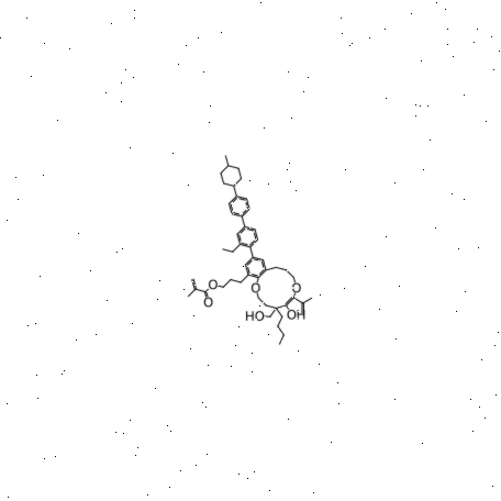 C=C(C)C(=O)OCCCc1cc(-c2ccc(-c3ccc(C4CCC(C)CC4)cc3)cc2CC)cc2c1OCCC(CO)(CCCC)/C(O)=C(/C(=C)C)OCCC2